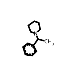 C[C](c1ccccc1)N1CCCCC1